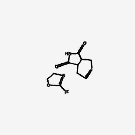 CCC1=NCCO1.O=C1NC(=O)C2CC=CCC12